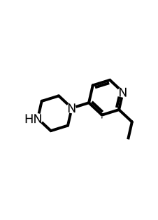 CCc1[c]c(N2CCNCC2)ccn1